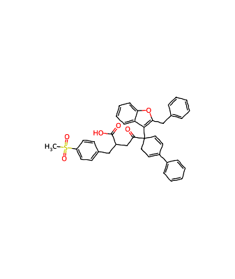 CS(=O)(=O)c1ccc(CC(CC(=O)C2(c3c(Cc4ccccc4)oc4ccccc34)C=CC(c3ccccc3)=CC2)C(=O)O)cc1